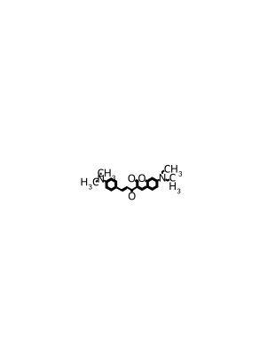 CCN(CC)c1ccc2cc(C(=O)C=Cc3ccc(N(C)C)cc3)c(=O)oc2c1